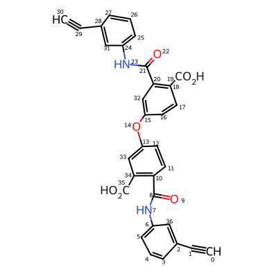 C#Cc1cccc(NC(=O)c2ccc(Oc3ccc(C(=O)O)c(C(=O)Nc4cccc(C#C)c4)c3)cc2C(=O)O)c1